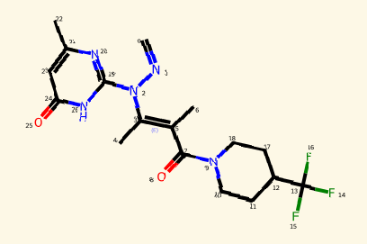 C=NN(/C(C)=C(\C)C(=O)N1CCC(C(F)(F)F)CC1)c1nc(C)cc(=O)[nH]1